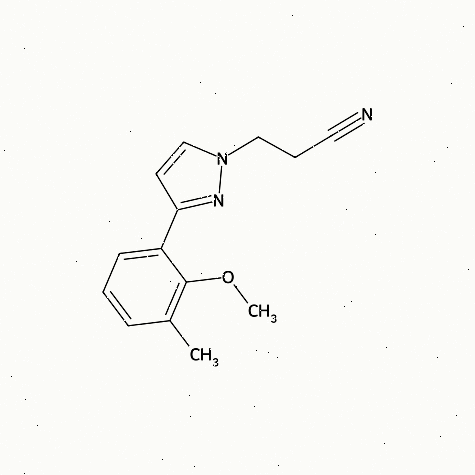 COc1c(C)cccc1-c1ccn(CCC#N)n1